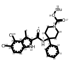 Cc1c(C(=O)NC2(c3ccccc3)CCN(C(=O)OC(C)(C)C)CC2)[nH]c2ccc(Cl)c(Cl)c12